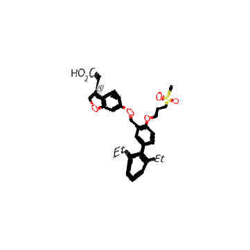 CCc1cccc(CC)c1-c1ccc(OCCCS(C)(=O)=O)c(COc2ccc3c(c2)OC[C@H]3CC(=O)O)c1